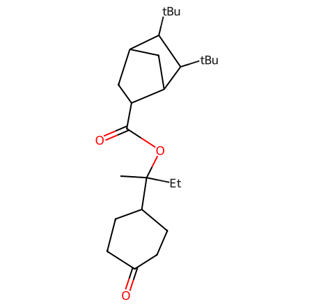 CCC(C)(OC(=O)C1CC2CC1C(C(C)(C)C)C2C(C)(C)C)C1CCC(=O)CC1